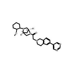 COC1CCCCC1N1C[C@@H]2C[C@H]1CN2C(=O)CN1CCc2cc(-c3cncnc3)ccc2C1